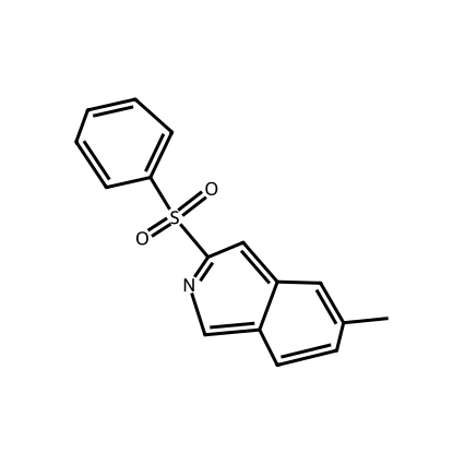 Cc1ccc2cnc(S(=O)(=O)c3ccccc3)cc2c1